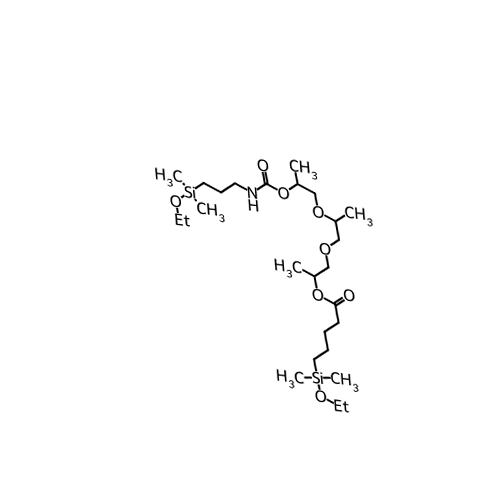 CCO[Si](C)(C)CCCCC(=O)OC(C)COCC(C)OCC(C)OC(=O)NCCC[Si](C)(C)OCC